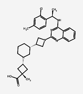 Cc1ccc([C@@H](C)Nc2nc(N3CC([C@H]4CCCN([C@H]5C[C@@](C)(C(=O)O)C5)C4)C3)nc3ccccc23)c(Cl)c1